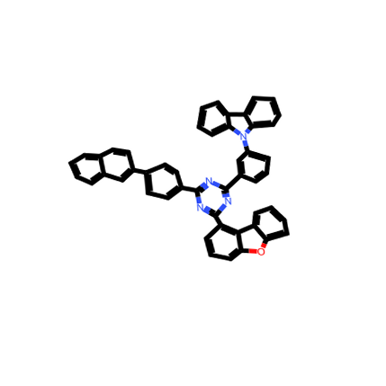 c1cc(-c2nc(-c3ccc(-c4ccc5ccccc5c4)cc3)nc(-c3cccc4oc5ccccc5c34)n2)cc(-n2c3ccccc3c3ccccc32)c1